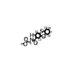 COC(=O)CNC(=O)c1ccc2c(c1)Oc1ccccc1S2